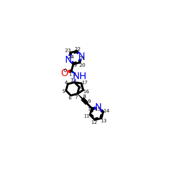 O=C(N[C@@]12CCC[C@@](C#Cc3ccccn3)(CC1)C2)c1cnccn1